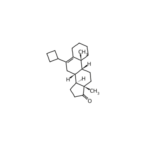 C[C@]12CCCCC1=C(C1CCC1)C[C@@H]1[C@H]2CC[C@]2(C)C(=O)CC[C@@H]12